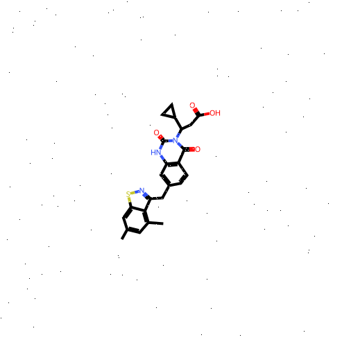 Cc1cc(C)c2c(Cc3ccc4c(=O)n(C(CC(=O)O)C5CC5)c(=O)[nH]c4c3)nsc2c1